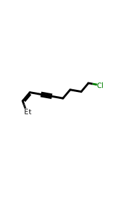 CC/C=C\C#CCCCCCl